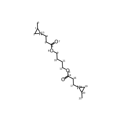 CC1CN1CCC(=O)OCCCCOC(=O)CCN1CC1C